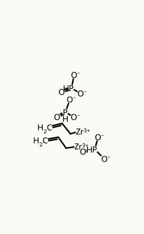 C=C[CH2][Zr+3].C=C[CH2][Zr+3].O=[PH]([O-])[O-].O=[PH]([O-])[O-].O=[PH]([O-])[O-]